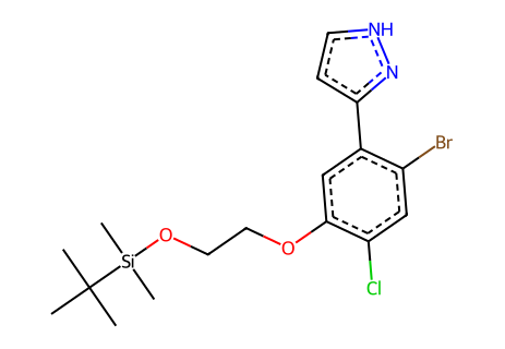 CC(C)(C)[Si](C)(C)OCCOc1cc(-c2cc[nH]n2)c(Br)cc1Cl